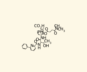 CC(C)C[C@H](NC(=O)C(NC(=O)c1cccc(-c2ccccc2)n1)[C@@H](C)O)B(OCC(=O)O)OC(=O)CCC(=O)N(C)C